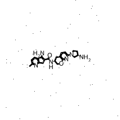 Cc1ccc2c(n1)CC(C(=O)N[C@H]1COc3nc(N4CC[C@H](N)C4)ccc3C1)=C2N